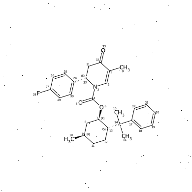 CC1=CN(C(=O)O[C@@H]2C[C@H](C)CC[C@H]2C(C)(C)c2ccccc2)[C@H](c2ccc(F)cc2)CC1=O